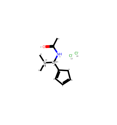 CC(=O)[NH][Zr+2]([C]1=CC=CC1)[SiH](C)C.[Cl-].[Cl-]